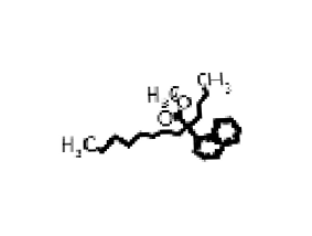 CCCCCCCCC(CCCC)(C(=O)OC)c1cccc2ccccc12